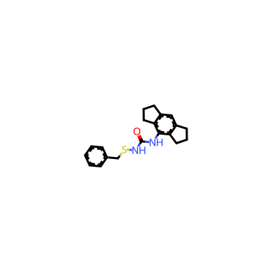 O=C(NSCc1ccccc1)Nc1c2c(cc3c1CCC3)CCC2